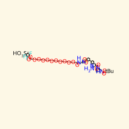 CCON(CCCNC(=O)OC(C)(C)C)C(=O)C1=Cc2ccc(-c3cccc(S(=O)(=O)N4CC(CNC(=O)CCOCCOCCOCCOCCOCCOCCOCCOCCOCCOCCC(=O)Oc5c(F)c(C)c(S(=O)(=O)O)c(F)c5F)C4)c3)cc2N=C(N)C1